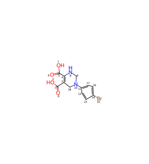 O=C(O)C1=C(C(=O)O)NCN(c2ccc(Br)cc2)C1